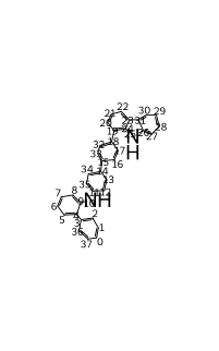 c1ccc(-c2ccccc2Nc2ccc(-c3ccc(-c4cccc5c4[nH]c4ccccc45)cc3)cc2)cc1